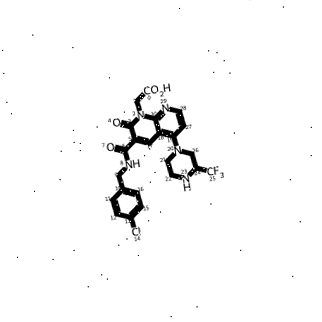 O=C(O)Cn1c(=O)c(C(=O)NCc2ccc(Cl)cc2)cc2c(N3CCNC(C(F)(F)F)C3)ccnc21